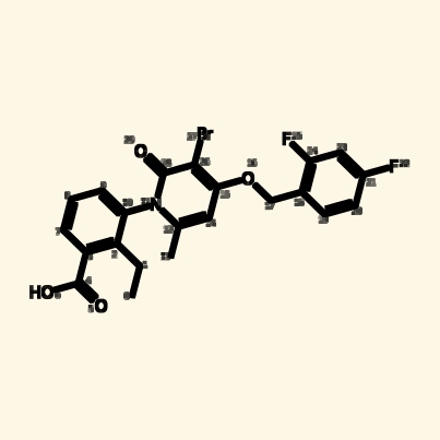 CCc1c(C(=O)O)cccc1-n1c(C)cc(OCc2ccc(F)cc2F)c(Br)c1=O